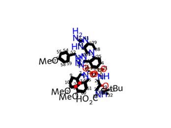 COc1ccc(CN(Cc2ccc(OC)cc2)S(=O)(=O)c2c(S(=O)(=O)NCC(CNC(=O)O)O[Si](C)(C)C(C)(C)C)ccc(N3CCc4nc(N)[nH]c4C3)c2-c2nnn(Cc3ccc(OC)cc3)n2)cc1